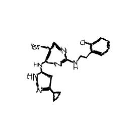 Clc1ccccc1CCNc1ncc(Br)c(Nc2cc(C3CC3)n[nH]2)n1